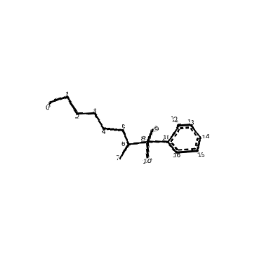 CCCCCC[C](C)C(C)(C)c1ccccc1